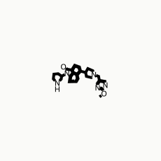 COc1ncc(CN2CCC(c3ccc4c5c(cccc35)N(C3CCCNC3)C4=O)CC2)cn1